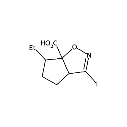 CCC1CCC2C(I)=NOC12C(=O)O